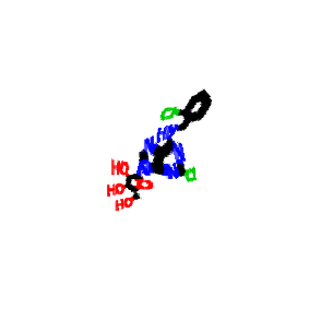 OC[C@H]1OC(n2cnc3c(NCc4ccccc4Cl)nc(Cl)nc32)[C@H](O)[C@@H]1O